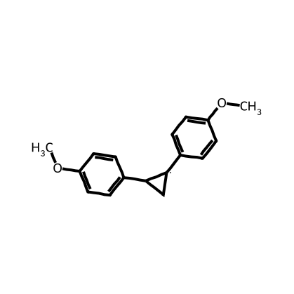 COc1ccc([C]2CC2c2ccc(OC)cc2)cc1